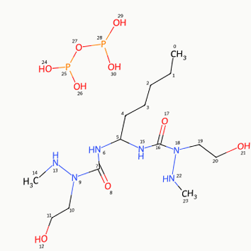 CCCCCC(NC(=O)N(CCO)NC)NC(=O)N(CCO)NC.OP(O)OP(O)O